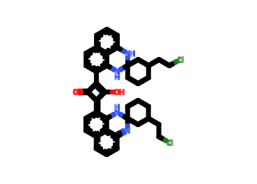 O=C1C(c2ccc3cccc4c3c2NC2(CCCC(CCCl)C2)N4)=C(O)/C1=c1/ccc2cccc3c2c1NC1(CCCC(CCCl)C1)N=3